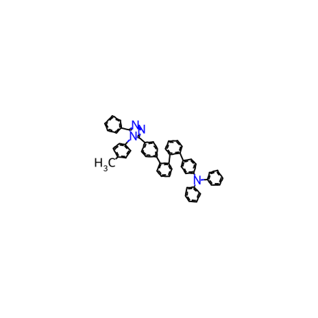 Cc1ccc(-n2c(-c3ccccc3)nnc2-c2ccc(-c3ccccc3-c3ccccc3-c3ccc(N(c4ccccc4)c4ccccc4)cc3)cc2)cc1